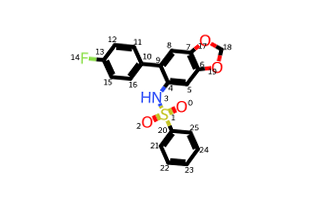 O=S(=O)(Nc1cc2c(cc1-c1ccc(F)cc1)OCO2)c1ccccc1